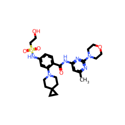 Cc1cc(NC(=O)c2ccc(NS(=O)(=O)CCO)cc2N2CCC3(CC2)CC3)nc(N2CCOCC2)n1